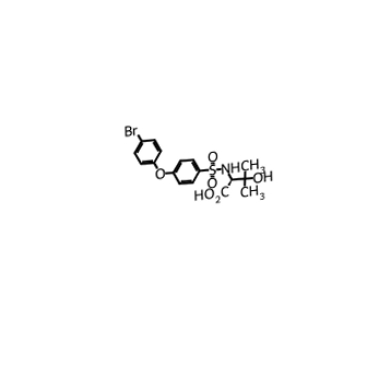 CC(C)(O)[C@H](NS(=O)(=O)c1ccc(Oc2ccc(Br)cc2)cc1)C(=O)O